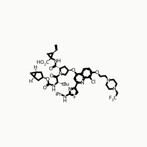 C=C[C@@H]1C[C@]1(NC(=O)[C@@H]1C[C@@H](Oc2cc(-c3csc(NC(C)C)n3)nc3c(Cl)c(OCCN4CCN(CC(F)(F)F)CC4)ccc23)CN1C(=O)[C@@H](NC(=O)O[C@@H]1C[C@@H]2C[C@@H]2C1)C(C)(C)C)C(=O)O